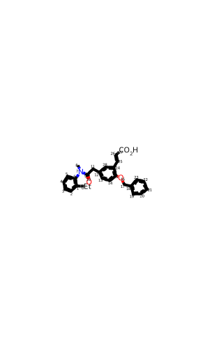 CCc1ccccc1N(C)C(=O)Cc1ccc(OCc2ccccc2)c(C=CC(=O)O)c1